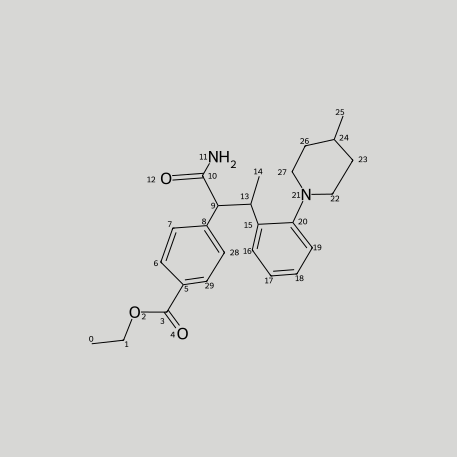 CCOC(=O)c1ccc(C(C(N)=O)C(C)c2ccccc2N2CCC(C)CC2)cc1